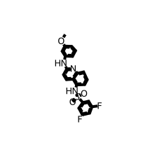 COc1cccc(Nc2ccc3c(NS(=O)(=O)c4cc(F)cc(F)c4)cccc3n2)c1